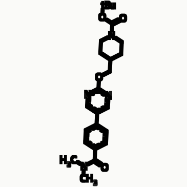 CN(C)C(=O)c1ccc(-c2cnc(OCC3CCN(C(=O)OC(C)(C)C)CC3)nc2)cc1